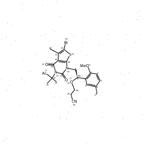 COc1ccc(F)cc1[C@H](Cn1c(=O)n(C(C)(C)C(C)=O)c(=O)c2c(C)c(Br)sc21)OCCC#N